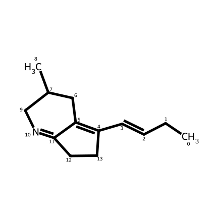 CC/C=C/C1=C2CC(C)CN=C2CC1